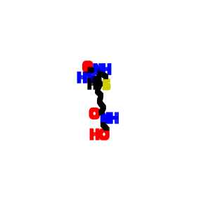 O=C(CCCCC1SCC2NC(=O)N[C@@H]21)NCCO